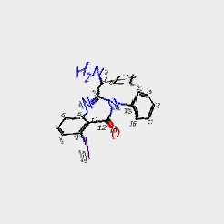 CC[C@H](N)c1nc2cccc(I)c2c(=O)n1-c1ccccc1